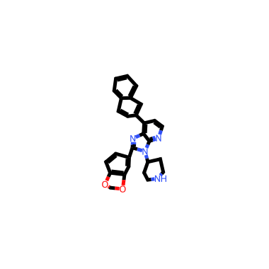 c1ccc2cc(-c3ccnc4c3nc(-c3ccc5c(c3)OCO5)n4C3CCNCC3)ccc2c1